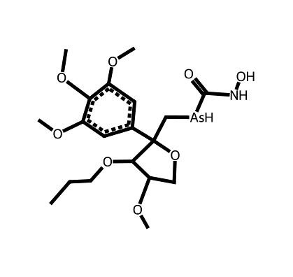 CCCOC1C(OC)COC1(C[AsH]C(=O)NO)c1cc(OC)c(OC)c(OC)c1